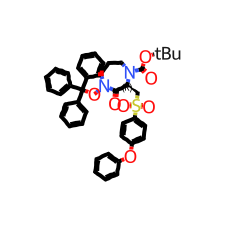 CC(C)(C)OC(=O)N1CCCN(OC(c2ccccc2)(c2ccccc2)c2ccccc2)C(=O)[C@@H]1CS(=O)(=O)c1ccc(Oc2ccccc2)cc1